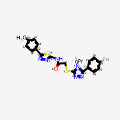 CCCn1c(SCC(=O)Nc2nnc(-c3ccc(C)cc3)s2)nnc1-c1ccc(F)cc1